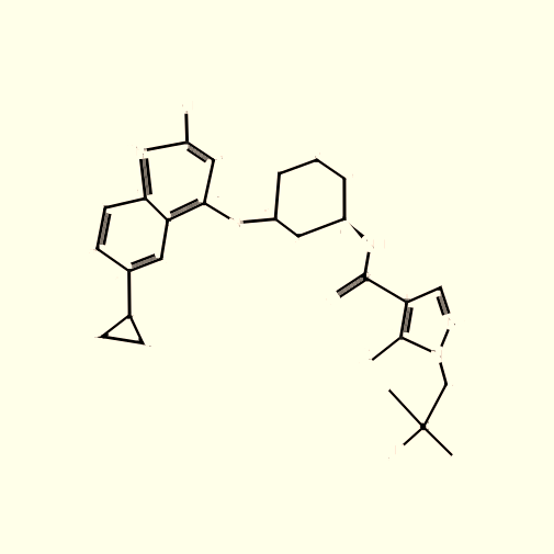 CC(C)(F)Cn1ncc(C(=O)N[C@@H]2CCCC(Nc3cc(C(F)(F)F)nc4ccc(C5CC5)cc34)C2)c1Cl